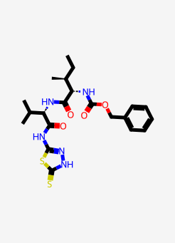 CC[C@H](C)[C@H](NC(=O)OCc1ccccc1)C(=O)N[C@H](C(=O)Nc1n[nH]c(=S)s1)C(C)C